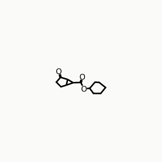 O=C1CCC2C1C2C(=O)OC1CCCCC1